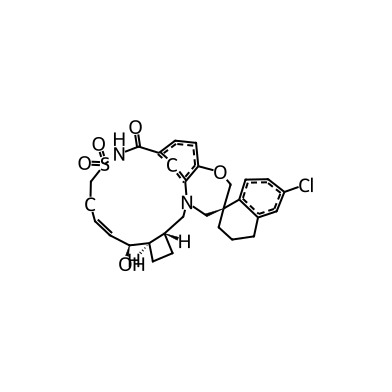 O=C1NS(=O)(=O)CC/C=C\[C@H](O)[C@@H]2CC[C@H]2CN2C[C@@]3(CCCc4cc(Cl)ccc43)COc3ccc1cc32